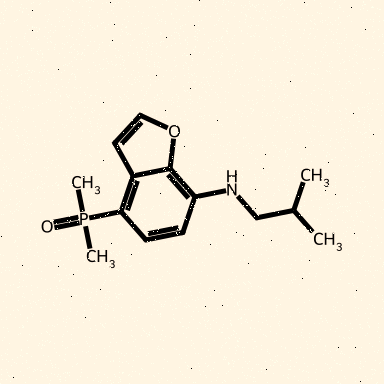 CC(C)CNc1ccc(P(C)(C)=O)c2ccoc12